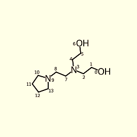 OCCN(CCO)CCN1CCCC1